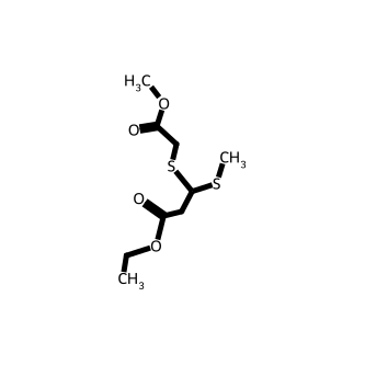 CCOC(=O)CC(SC)SCC(=O)OC